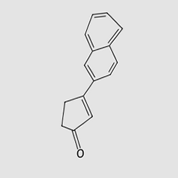 O=C1C=C(c2ccc3ccccc3c2)CC1